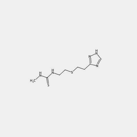 CNC(=S)NCCSCCc1nc[nH]n1